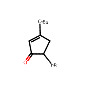 CCCC1CC(OCC(C)C)=CC1=O